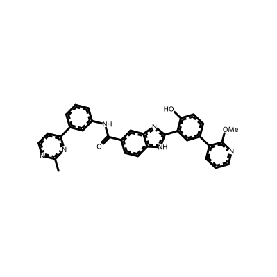 COc1ncccc1-c1ccc(O)c(-c2nc3cc(C(=O)Nc4cccc(-c5ccnc(C)n5)c4)ccc3[nH]2)c1